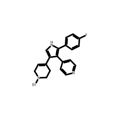 CCN1CC=C(c2c[nH]c(-c3ccc(F)cc3)c2-c2ccncc2)CC1